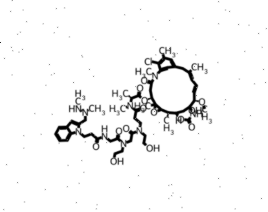 CNN(C)Cc1cc2ccccc2n1CCC(=O)NCC(=O)N(CCO)CC(=O)N(CCO)CCC(=O)N(C)[C@@H](C)C(=O)O[C@H]1CC(=O)N(C)c2cc(cc(C)c2Cl)C/C(C)=C/C=C/[C@@H](OC)[C@@]2(O)C[C@H](OC(=O)N2)[C@@H](C)C2OC21C